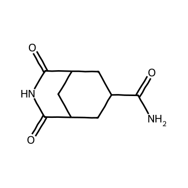 NC(=O)C1CC2CC(C1)C(=O)NC2=O